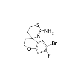 NC1=NC2(CCOc3cc(F)c(Br)cc32)CCS1